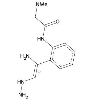 CNCC(=O)Nc1ccccc1/C(N)=C/NN